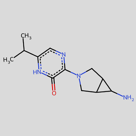 CC(C)c1cnc(N2CC3C(N)C3C2)c(=O)[nH]1